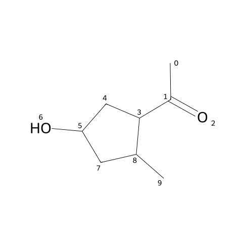 CC(=O)C1CC(O)CC1C